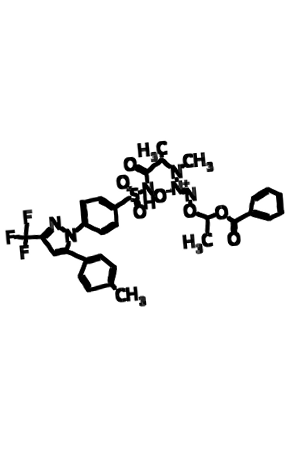 Cc1ccc(-c2cc(C(F)(F)F)nn2-c2ccc(S(=O)(=O)NC(=O)[C@H](C)N(C)/[N+]([O-])=N/OC(C)OC(=O)c3ccccc3)cc2)cc1